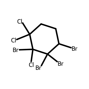 ClC1(Cl)CCC(Br)C(Br)(Br)C1(Cl)Br